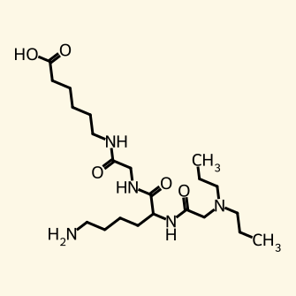 CCCN(CCC)CC(=O)NC(CCCCN)C(=O)NCC(=O)NCCCCCC(=O)O